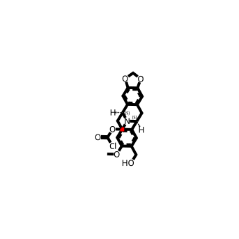 COc1cc2c(cc1CO)[C@@H]1Cc3cc4c(cc3[C@H](C2)N1COC(=O)Cl)OCO4